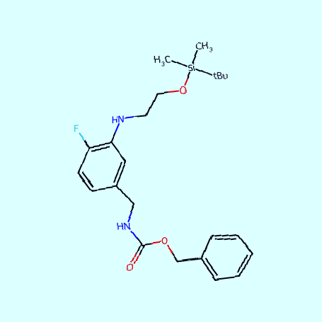 CC(C)(C)[Si](C)(C)OCCNc1cc(CNC(=O)OCc2ccccc2)ccc1F